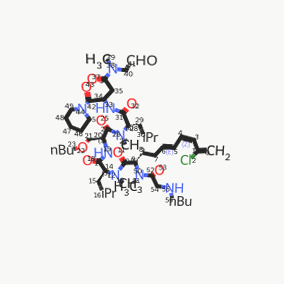 C=C(Cl)/C=C\C=C\CC[C@@H](C(=O)N(C)[C@@H](CC(C)C)C(=O)N[C@@H](COCCCC)C(=O)N(C)[C@@H](CC(C)C)C(=O)NC(CC(=O)N(C)CC=O)C(=O)N1CCCCC1)N(C)C(=O)CNCCCC